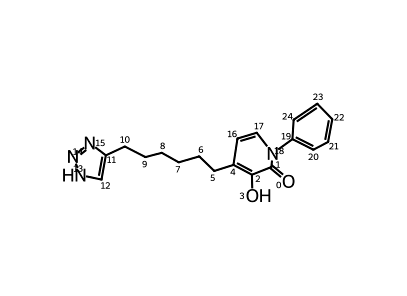 O=c1c(O)c(CCCCCCc2c[nH]nn2)ccn1-c1ccccc1